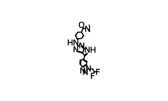 CN(C)C(=O)C1CCC(Nc2ncc3c(-c4ccc5nnn(CC(F)F)c5c4)c[nH]c3n2)CC1